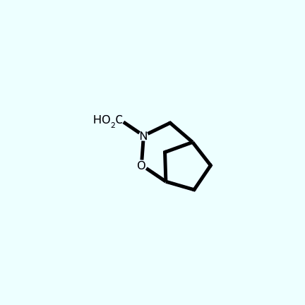 O=C(O)N1CC2CCC(C2)O1